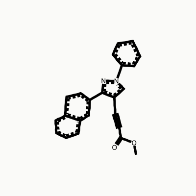 COC(=O)C#Cc1cn(-c2ccccc2)nc1-c1ccc2ccccc2c1